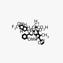 COc1ccccc1C(Cn1c(=O)n(C(C)(C)C(=O)O)c(=O)c2c(C)c(-c3ncco3)sc21)OC1C[C@@H]2CC(O)(C(F)(F)F)C[C@@H]2C1